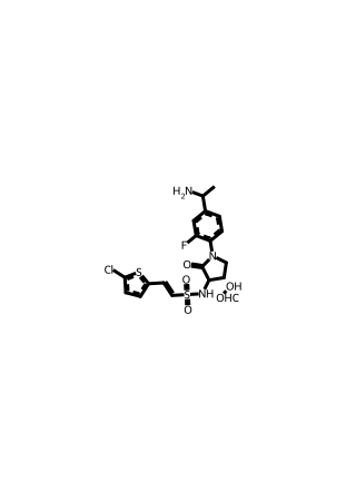 CC(N)c1ccc(N2CCC(NS(=O)(=O)C=Cc3ccc(Cl)s3)C2=O)c(F)c1.O=CO